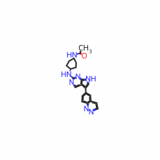 CC(=O)N[C@H]1CC[C@@H](Nc2ncc3c(-c4ccc5nnccc5c4)c[nH]c3n2)CC1